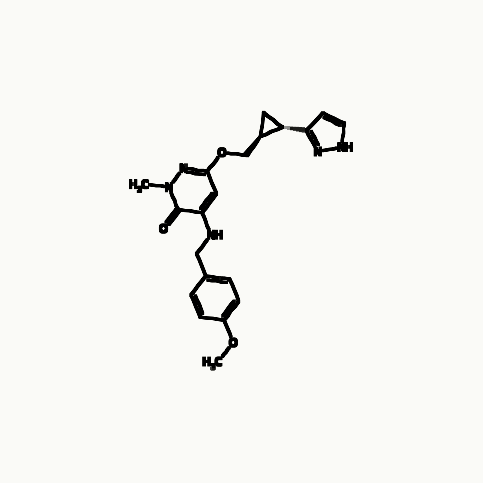 COc1ccc(CNc2cc(OC[C@H]3C[C@@H]3c3cc[nH]n3)nn(C)c2=O)cc1